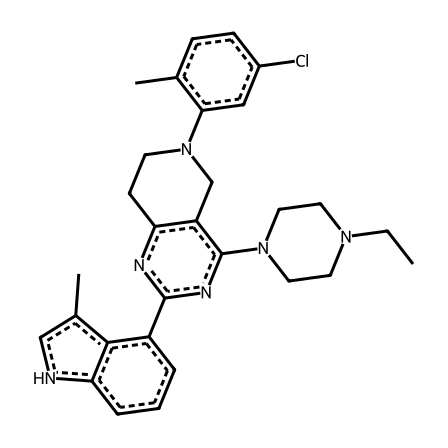 CCN1CCN(c2nc(-c3cccc4[nH]cc(C)c34)nc3c2CN(c2cc(Cl)ccc2C)CC3)CC1